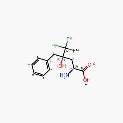 N[C@@H](C[C@](O)(Cc1ccccc1)C(F)(F)F)C(=O)O